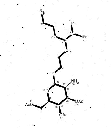 CC(=O)OC[C@H]1O[C@@H](OCCOP(OCCC#N)N(C(C)C)C(C)C)[C@H](N)[C@@H](OC(C)=O)[C@H]1OC(C)=O